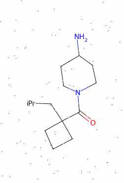 CC(C)CC1(C(=O)N2CCC(N)CC2)CCC1